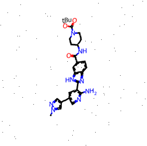 Cn1cc(-c2cnc(N)c(-c3nc4ccc(C(=O)NC5CCN(C(=O)OC(C)(C)C)CC5)cc4[nH]3)c2)cn1